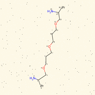 CC(C)C(N)COCCCOCCCOCC(N)C(C)C